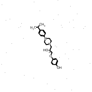 CC(C)c1ccc(N2CCN(C[C@@H](O)COc3ccc(O)cc3)CC2)cc1